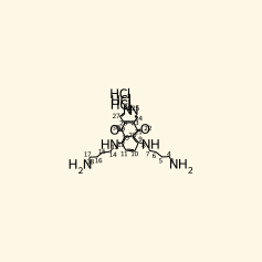 Cl.Cl.Cl.NCCCCNc1ccc(NCCCCN)c2c1C(=O)c1cnncc1C2=O